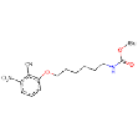 CC(C)(C)OC(=O)NCCCCCCOc1cccc([N+](=O)[O-])c1C#N